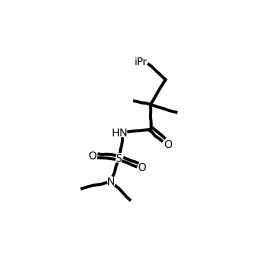 CC(C)CC(C)(C)C(=O)NS(=O)(=O)N(C)C